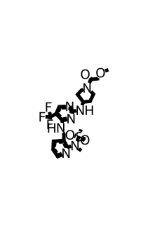 COCC(=O)N1CCC(Nc2ncc(C(F)(F)F)c(NCc3cccnc3N(C)S(C)(=O)=O)n2)CC1